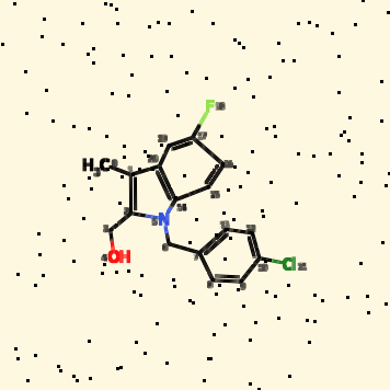 Cc1c(CO)n(Cc2ccc(Cl)cc2)c2ccc(F)cc12